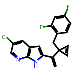 C=C(c1cc2cc(Cl)cnc2[nH]1)C1(Cc2ccc(F)cc2F)C=C1